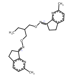 CCC(CO/N=C1\CCc2ccc(C)nc21)CO/N=C1\CCc2ccc(C)nc21